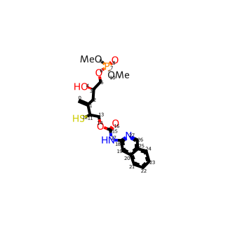 C=C(C[C@@H](O)COP(=O)(OC)OC)C(S)COC(=O)Nc1cc2ccccc2cn1